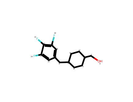 OCC1CCC(Cc2cc(F)c(F)c(F)c2)CC1